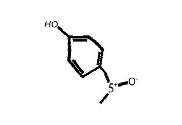 C[S+]([O-])c1ccc(O)cc1